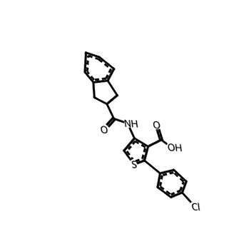 O=C(O)c1c(NC(=O)C2Cc3ccccc3C2)csc1-c1ccc(Cl)cc1